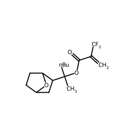 C=C(C(=O)OC(C)(CCCC)C1CC2CCC1O2)C(F)(F)F